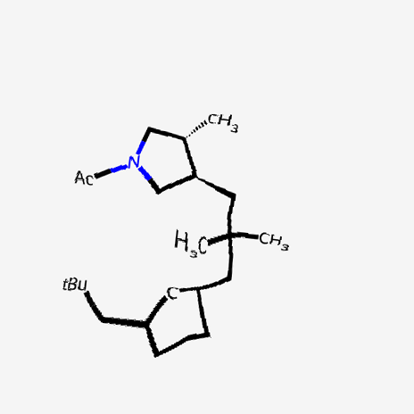 CC(=O)N1C[C@H](CC(C)(C)CC2CCC(CC(C)(C)C)C2)[C@@H](C)C1